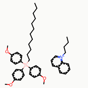 CCCCCCCCCCCC[B-](c1ccc(OC)cc1)(c1ccc(OC)cc1)c1ccc(OC)cc1.CCCC[n+]1cccc2ccccc21